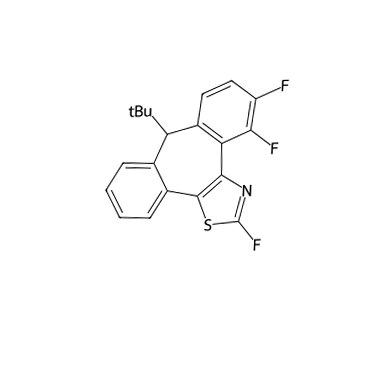 CC(C)(C)C1c2ccccc2-c2sc(F)nc2-c2c1ccc(F)c2F